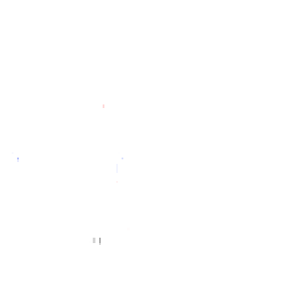 CC(C)(C)OC(=O)C[C@@H](CCCC1CCCCC1)C(=O)NC(O)c1ccncc1